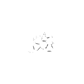 COc1cc(F)c(-c2[nH]n(C)c(=O)c2-c2ccccc2Cl)c(F)c1